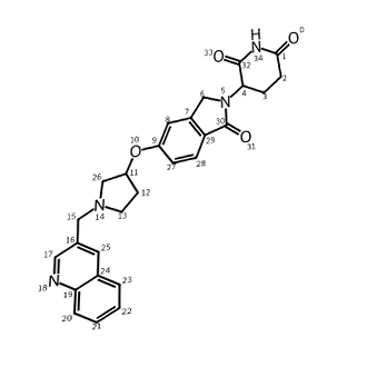 O=C1CCC(N2Cc3cc(OC4CCN(Cc5cnc6ccccc6c5)C4)ccc3C2=O)C(=O)N1